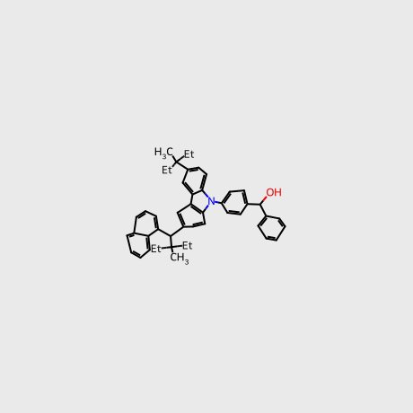 CCC(C)(CC)c1ccc2c(c1)c1cc(C(c3cccc4ccccc34)C(C)(CC)CC)ccc1n2-c1ccc(C(O)c2ccccc2)cc1